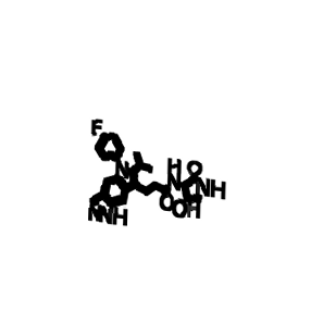 CC(C)c1c(CCC(=O)N[C@H]2C(=O)NC[C@@H]2O)c2cc3[nH]ncc3cc2n1-c1ccc(F)cc1